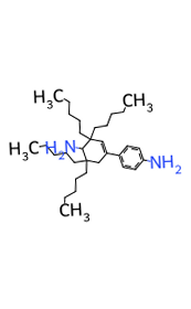 CCCCCC1(CCCCC)C=C(c2ccc(N)cc2)CC(CCCCC)(CCCCC)C1N